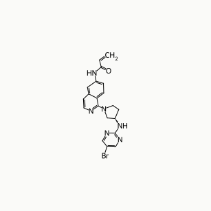 C=CC(=O)Nc1ccc2c(N3CC[C@@H](Nc4ncc(Br)cn4)C3)nccc2c1